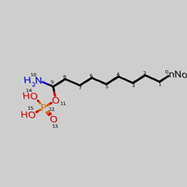 CCCCCCCCCCCCCCCCCC(N)OP(=O)(O)O